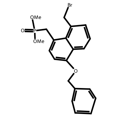 COP(=O)(Cc1ccc(OCc2ccccc2)c2cccc(CBr)c12)OC